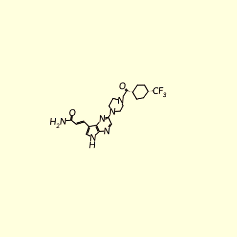 NC(=O)/C=C/c1c[nH]c2ncc(N3CCN(C(=O)[C@H]4CC[C@@H](C(F)(F)F)CC4)CC3)nc12